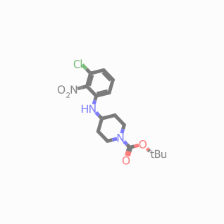 CC(C)(C)OC(=O)N1CCC(Nc2cccc(Cl)c2[N+](=O)[O-])CC1